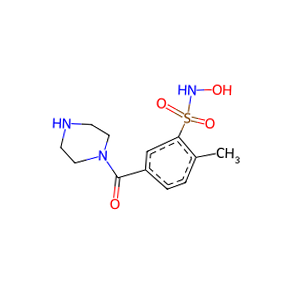 Cc1ccc(C(=O)N2CCNCC2)cc1S(=O)(=O)NO